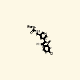 CCNC(=O)NCc1cncc(-c2c(C#N)c3ccc(Cl)cc3n2C)c1